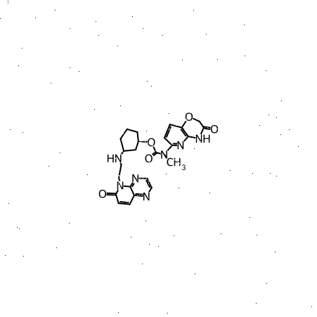 CN(C(=O)O[C@@H]1CCC[C@H](NCCn2c(=O)ccc3nccnc32)C1)c1ccc2c(n1)NC(=O)CO2